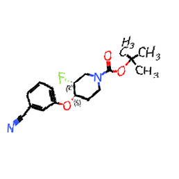 CC(C)(C)OC(=O)N1CC[C@H](Oc2cccc(C#N)c2)[C@H](F)C1